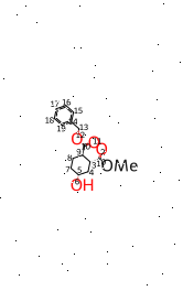 COC(=O)[C@@H]1C[C@H](O)CC[C@H]1C(=O)OCc1ccccc1